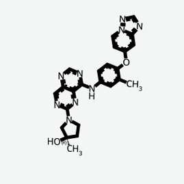 Cc1cc(Nc2ncnc3cnc(N4CC[C@@](C)(O)C4)nc23)ccc1Oc1ccn2ncnc2c1